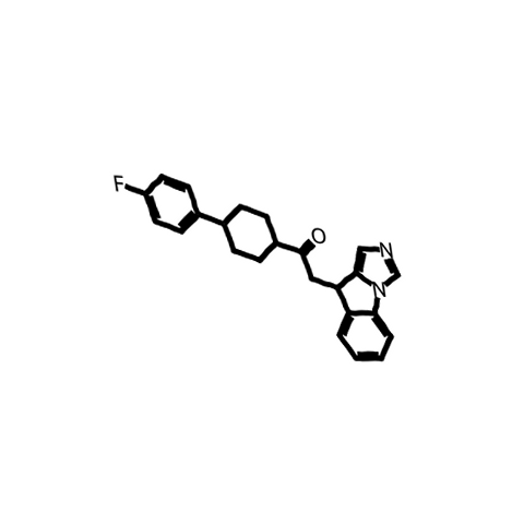 O=C(CC1c2ccccc2-n2cncc21)C1CCC(c2ccc(F)cc2)CC1